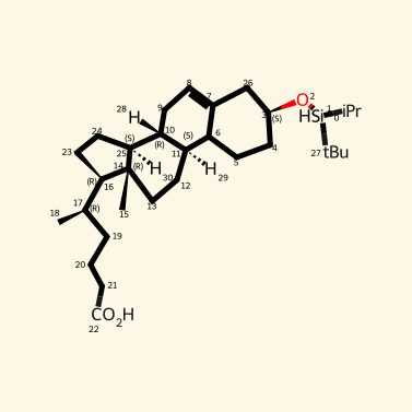 CC(C)[SiH](O[C@H]1CCC2C(=CC[C@@H]3[C@@H]2CC[C@]2(C)[C@@H]([C@H](C)CCCC(=O)O)CC[C@@H]32)C1)C(C)(C)C